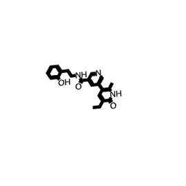 CCc1cc(-c2cncc(C(=O)NCCc3ccccc3O)c2)c(C)[nH]c1=O